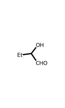 CCC(O)C=O